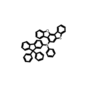 c1ccc(N(c2ccc3c(c2)C(c2ccccc2)(c2ccccc2)c2ccccc2-3)c2cc3sc4ccccc4c3c3oc4ccccc4c23)cc1